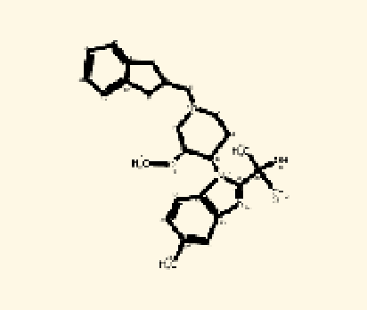 CO[C@H]1CN(CC2Cc3ccccc3C2)CC[C@H]1n1c(C(C)(C)O)nc2cc(C)ccc21